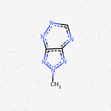 Cn1nc2ncnnc2n1